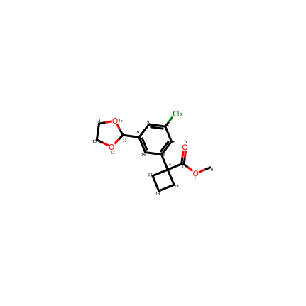 COC(=O)C1(c2cc(Cl)cc(C3OCCO3)c2)CCC1